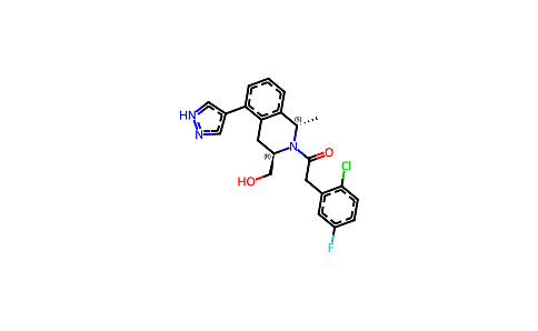 C[C@H]1c2cccc(-c3cn[nH]c3)c2C[C@H](CO)N1C(=O)Cc1cc(F)ccc1Cl